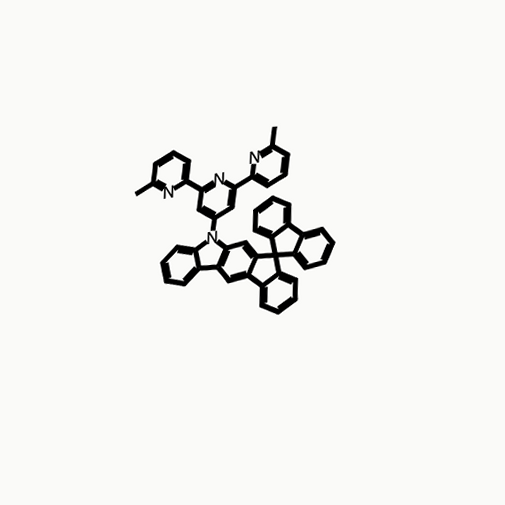 Cc1cccc(-c2cc(-n3c4ccccc4c4cc5c(cc43)C3(c4ccccc4-c4ccccc43)c3ccccc3-5)cc(-c3cccc(C)n3)n2)n1